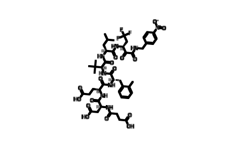 Cc1ccccc1C[C@H](NC(=O)[C@H](CCC(=O)O)NC(=O)[C@H](CC(=O)O)NC(=O)CCC(=O)O)C(=O)N[C@H](C(=O)N[C@@H](CC(C)C)C(=O)N[C@@H](CC(F)(F)F)C(=O)C(=O)NCc1ccc([N+](=O)[O-])cc1)C(C)(C)C